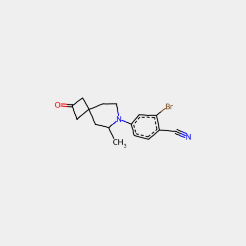 CC1CC2(CCN1c1ccc(C#N)c(Br)c1)CC(=O)C2